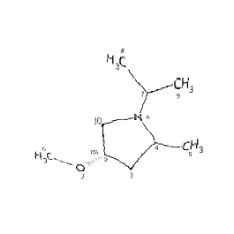 CO[C@H]1CC(C)N(C(C)C)C1